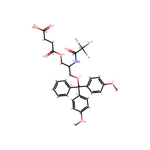 COc1ccc(C(OCC(COC(=O)CCC(=O)O)NC(=O)C(F)(F)F)(c2ccccc2)c2ccc(OC)cc2)cc1